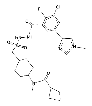 CN(C(=O)C1CCC1)C1CCC(CS(=O)(=O)NNC(=O)c2cc(-c3cn(C)cn3)cc(Cl)c2F)CC1